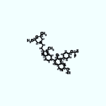 CCOc1ncc2nc(-c3ccc4nc(CCN5CC(C)OC(C)C5)n(C)c4c3)c(=O)n(-c3ccc(OC(F)F)cc3)c2n1